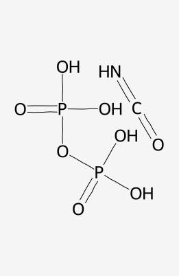 N=C=O.O=P(O)(O)OP(=O)(O)O